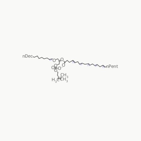 CCCCC/C=C/C/C=C/C/C=C/C/C=C/C/C=C/CCC(=O)O[C@H](CO/C=C/CCCCCCCCCCCCCCCC)COP(=O)([O-])OCC[N+](C)(C)C